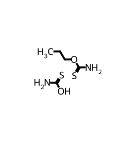 CCCOC(N)=S.NC(O)=S